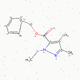 CCn1nc(C)c(C)c1C(=O)OCc1ccccc1